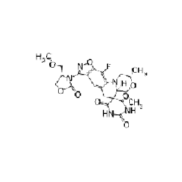 COC[C@@H]1COC(=O)N1c1noc2c(F)c3c(cc12)CC1(C(=O)NC(=O)NC1=O)[C@@H]1[C@@H](C)O[C@@H](C)CN31